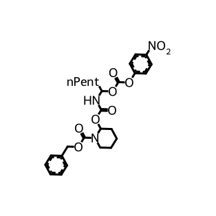 CCCCCC(NC(=O)OC1CCCCN1C(=O)OCc1ccccc1)OC(=O)Oc1ccc([N+](=O)[O-])cc1